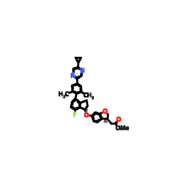 COC(=O)C[C@@H]1COc2cc(O[C@@H]3CCc4c(-c5c(C)cc(-c6cnc(C7CC7)cn6)cc5C)ccc(F)c43)ccc21